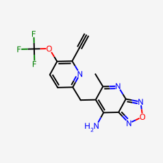 C#Cc1nc(Cc2c(C)nc3nonc3c2N)ccc1OC(F)(F)F